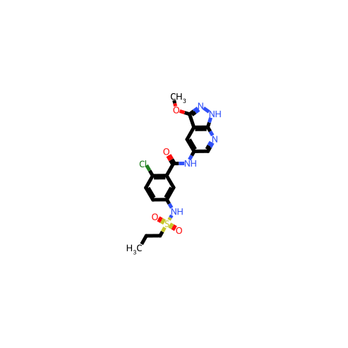 CCCS(=O)(=O)Nc1ccc(Cl)c(C(=O)Nc2cnc3[nH]nc(OC)c3c2)c1